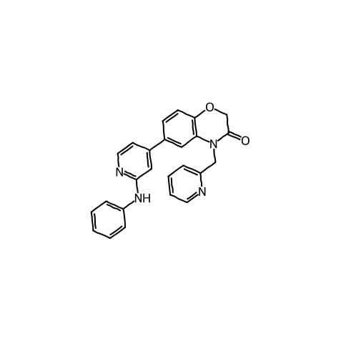 O=C1COc2ccc(-c3ccnc(Nc4ccccc4)c3)cc2N1Cc1ccccn1